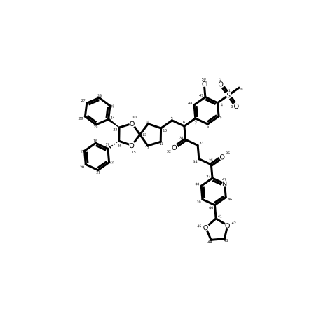 CS(=O)(=O)c1ccc(C(CC2CCC3(C2)O[C@H](c2ccccc2)[C@@H](c2ccccc2)O3)C(=O)CCC(=O)c2ccc(C3OCCO3)cn2)cc1Cl